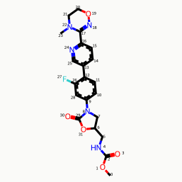 COC(=O)NCC1CN(c2ccc(-c3ccc(C4=NOCCN4C)nc3)c(F)c2)C(=O)O1